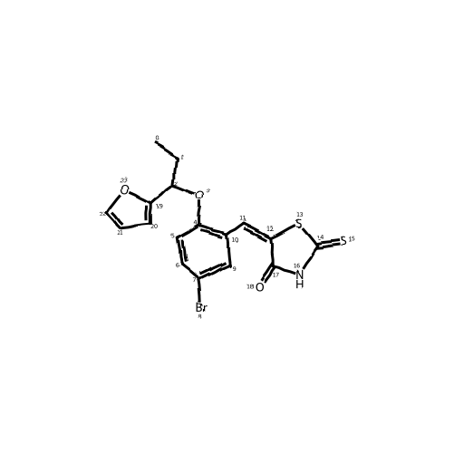 CCC(Oc1ccc(Br)cc1/C=C1/SC(=S)NC1=O)c1ccco1